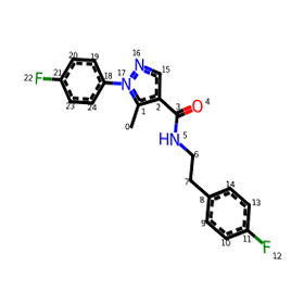 Cc1c(C(=O)NCCc2ccc(F)cc2)cnn1-c1ccc(F)cc1